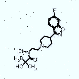 BC(C)(O)C(=O)N(CC)CCN1CCC(c2noc3cc(F)ccc23)CC1